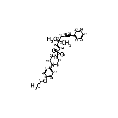 CCOc1ccc(N2CCN(S(=O)(=O)/C=C/C(C)(C)CC#Cc3ccccc3)CC2)cc1